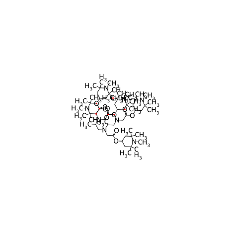 CC(CN(CC(=O)OC1CC(C)(C)N(C)C(C)(C)C1)C(C)CN(CC(=O)OC1CC(C)(C)N(C)C(C)(C)C1)CC(=O)OC1CC(C)(C)N(C)C(C)(C)C1)N(CC(=O)OC1CC(C)(C)N(C)C(C)(C)C1)CC(=O)OC1CC(C)(C)N(C)C(C)(C)C1